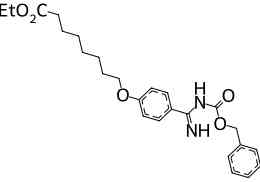 CCOC(=O)CCCCCCCOc1ccc(C(=N)NC(=O)OCc2ccccc2)cc1